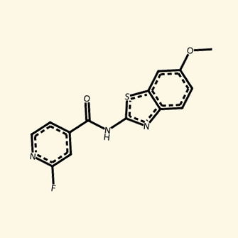 COc1ccc2nc(NC(=O)c3ccnc(F)c3)sc2c1